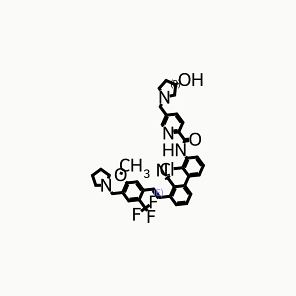 COc1cc(/C=C/c2cccc(-c3cccc(NC(=O)c4ccc(CN5CC[C@@H](O)C5)cn4)c3Cl)c2C#N)c(C(F)(F)F)cc1CN1CCCC1